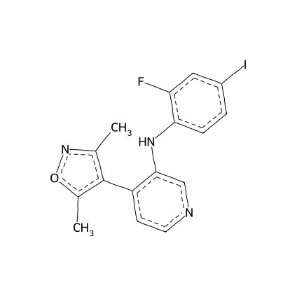 Cc1noc(C)c1-c1ccncc1Nc1ccc(I)cc1F